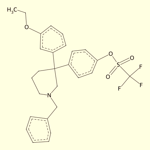 CCOc1cccc(C2(c3ccc(OS(=O)(=O)C(F)(F)F)cc3)CCCN(Cc3ccccc3)C2)c1